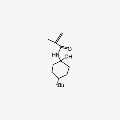 C=C(C)C(=O)NC1(O)CCC(C(C)(C)C)CC1